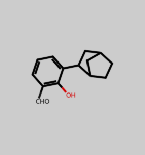 O=Cc1cccc(C2CC3CCC2C3)c1O